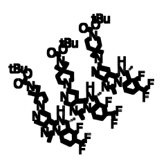 Cc1nc(N[C@H](C)c2cccc(C(F)F)c2F)c2cc(N3CC4(CCN(C(=O)OC(C)(C)C)CC4)C3)ncc2n1.Cc1nc(N[C@H](C)c2cccc(C(F)F)c2F)c2cc(N3CCC4(CC3)CN(C(=O)OC(C)(C)C)C4)ncc2n1.Cc1nc(N[C@H](C)c2cccc(C(F)F)c2F)c2cc(N3CCC4(CN(C(=O)OC(C)(C)C)C4)C3)ncc2n1